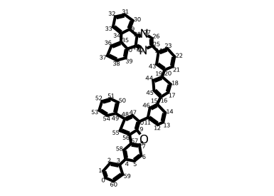 c1ccc(-c2ccc3oc4c(-c5cccc(-c6ccc(-c7cccc(-c8cnc9c%10ccccc%10c%10ccccc%10c9n8)c7)cc6)c5)cc(-c5ccccc5)cc4c3c2)cc1